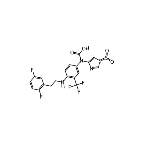 O=C(O)N(C1=CS(=S(=O)=O)C=N1)c1ccc(NCCc2cc(F)ccc2F)c(C(F)(F)F)c1